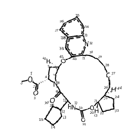 COC(=O)[C@@H]1C[C@@H]2CN1C(=O)C(C1CCCC1)NC(=O)O[C@H]1CCC[C@@H]1CCCCCc1nc3ccccc3cc1O2